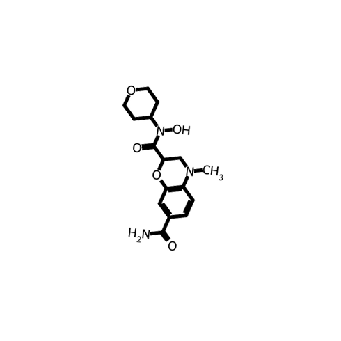 CN1CC(C(=O)N(O)C2CCOCC2)Oc2cc(C(N)=O)ccc21